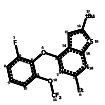 CCc1nc(Oc2c(F)cccc2OC(F)(F)F)c2cc(C(C)(C)C)sc2n1